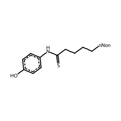 CCCCCCCCCCCCCC(=S)Nc1ccc(O)cc1